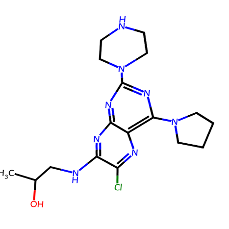 CC(O)CNc1nc2nc(N3CCNCC3)nc(N3CCCC3)c2nc1Cl